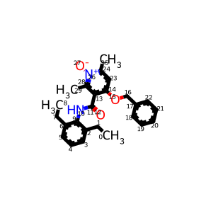 CCc1cccc(CC)c1NC(=O)c1c(OCc2ccccc2)cc(C)[n+]([O-])c1C